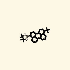 CC(C)(C)c1ccc2c3ccc(B4OC(C)(C)C(C)(C)O4)c4cccc(c5cccc1c52)c43